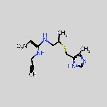 C#CCNC(=C[N+](=O)[O-])NCC(C)SCc1[nH]cnc1C